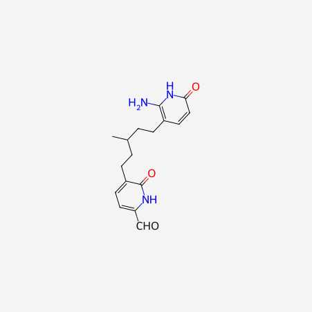 CC(CCc1ccc(=O)[nH]c1N)CCc1ccc(C=O)[nH]c1=O